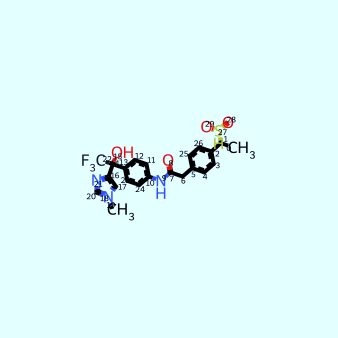 CC(c1ccc(CC(=O)Nc2ccc(C(O)(c3cn(C)cn3)C(F)(F)F)cc2)cc1)[SH](=O)=O